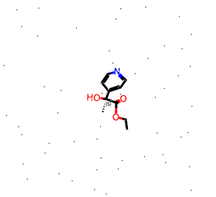 CCOC(=O)[C@@](C)(O)c1ccncc1